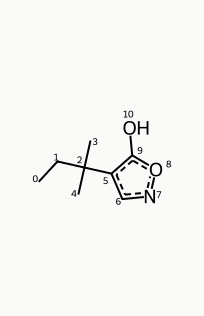 CCC(C)(C)c1cnoc1O